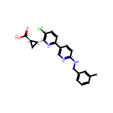 Cc1cccc(CNc2ccc(-c3ccc(Cl)c([C@@H]4C[C@H]4C(=O)O)n3)cn2)c1